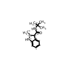 CN1Nc2ccccc2C1C(=O)NC(C)(C)C